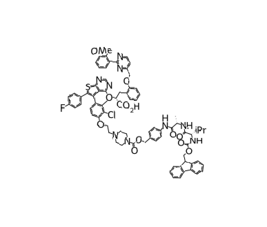 COc1ccccc1-c1nccc(COc2ccccc2C[C@@H](Oc2ncnc3sc(-c4ccc(F)cc4)c(-c4ccc(OCCN5CCN(C(=O)OCc6ccc(NC(=O)[C@H](C)NC(=O)[C@@H](NC(=O)OCC7c8ccccc8-c8ccccc87)C(C)C)cc6)CC5)c(Cl)c4C)c23)C(=O)O)n1